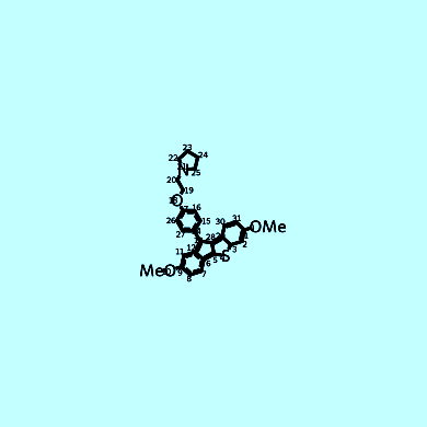 COC1=CC2SC3=c4ccc(OC)cc4=C(c4ccc(OCCN5CCCC5)cc4)C3=C2C=C1